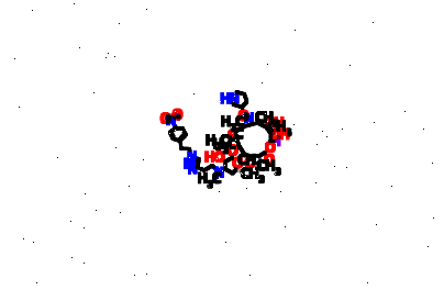 CO[C@]1(C)C[C@@H](C)/C(=N\O[C@@H]2CCCNC2)[C@H](C)[C@@H](O)[C@](C)(O)[C@@H](I)OC(=O)[C@H](C)C(=O)[C@H](C)[C@H]1O[C@@H]1O[C@H](C)C[C@H](N(C)CCc2cn(CCc3ccc([N+](=O)[O-])cc3)nn2)[C@H]1O